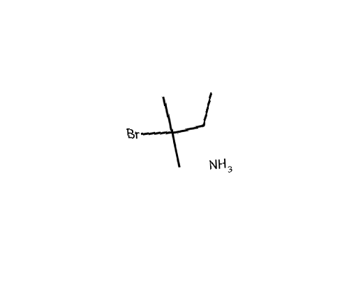 CCC(C)(C)Br.N